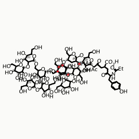 CCC(=O)NC(Cc1ccc(O)cc1)C(=O)CC(CC(=O)C[C@@H]1OC(CO)[C@@H](O[C@@H]2OC(CO)[C@@H](O[C@@H]3OC(CO[C@H]4OC(CO[C@H]5OC(CO)[C@@H](O)[C@H](O)C5O[C@H]5OC(CO)[C@@H](O)[C@H](O)C5O)[C@@H](O)[C@H](O[C@@H]5OC(CO)[C@@H](O)[C@H](O)C5O[C@H]5OC(CO)[C@@H](O)[C@H](O)C5O)C4O)[C@@H](O)[C@H](O[C@@H]4OC(CO)[C@@H](O)[C@H](O)C4O[C@H]4OC(CO)[C@@H](O)[C@H](O)C4O[C@H]4OC(CO)[C@@H](O)[C@H](O)C4O)C3O)CC2NC(C)=O)CC1NC(C)=O)C(=O)O